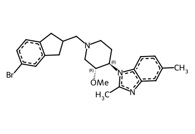 CO[C@@H]1CN(CC2Cc3ccc(Br)cc3C2)CC[C@H]1n1c(C)nc2cc(C)ccc21